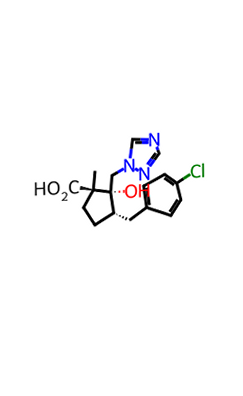 C[C@@]1(C(=O)O)CC[C@@H](Cc2ccc(Cl)cc2)[C@]1(O)Cn1cncn1